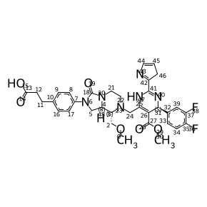 COC[C@@H]1[C@H]2CN(c3ccc(CCC(=O)O)cc3)C(=O)N2CCN1CC1=C(C(=O)OC)[C@H](c2ccc(F)c(F)c2)N=C(C2=NC=CC2)N1